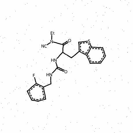 CCN(C#N)C(=O)C(Cc1csc2ccccc12)NC(=O)NCc1ccccc1F